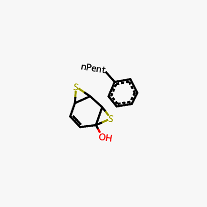 CCCCCc1ccccc1.OC12C=CC3SC3C1S2